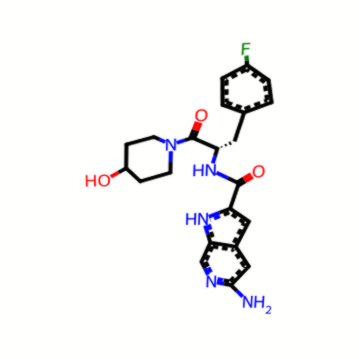 Nc1cc2cc(C(=O)N[C@@H](Cc3ccc(F)cc3)C(=O)N3CCC(O)CC3)[nH]c2cn1